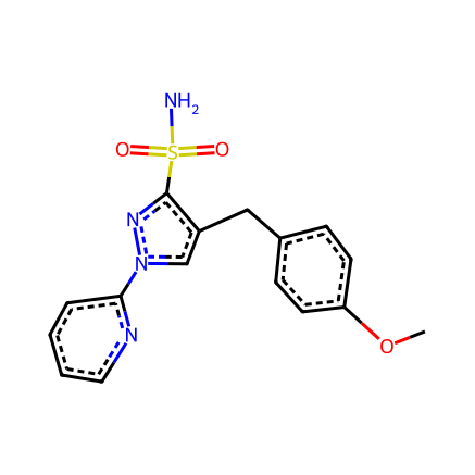 COc1ccc(Cc2cn(-c3ccccn3)nc2S(N)(=O)=O)cc1